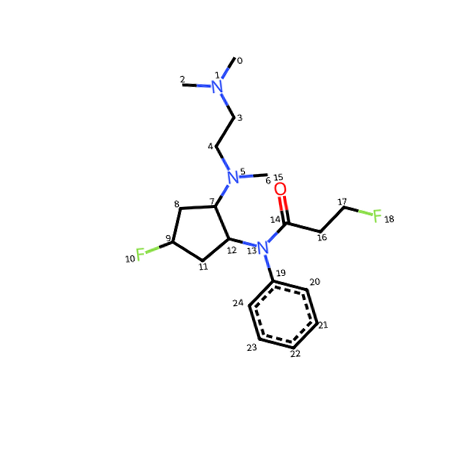 CN(C)CCN(C)C1CC(F)CC1N(C(=O)CCF)c1ccccc1